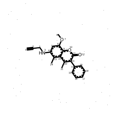 C#CCNc1cc(OC)c2oc(=O)c(-c3ccccc3)c(C)c2c1C